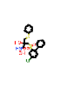 O=C(NO)C(O)(CSc1ccccc1)CS(=O)(=O)c1cc(Cl)ccc1-c1ccccc1